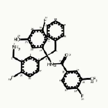 NCc1cc([C@@](Cc2ccccc2)(NC(=O)c2ccc(F)c(C(F)(F)F)c2)c2cc(O)cc(F)c2)ccc1F